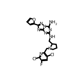 Nc1nc(NCC2CCCN2Cc2nc(Cl)c(F)cc2Cl)nc2nc(-c3ccco3)nn12